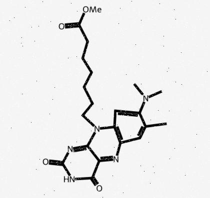 COC(=O)CCCCCCn1c2nc(=O)[nH]c(=O)c-2nc2cc(C)c(N(C)C)cc21